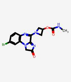 CNC(=O)OC1CN(C2=Nc3ccc(Br)cc3N3CC(=O)N=C23)C1